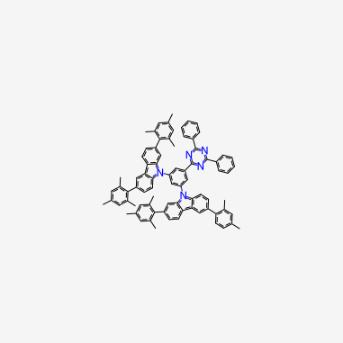 Cc1ccc(-c2ccc3c(c2)c2ccc(-c4c(C)cc(C)cc4C)cc2n3-c2cc(-c3nc(-c4ccccc4)nc(-c4ccccc4)n3)cc(-n3c4ccc(-c5c(C)cc(C)cc5C)cc4c4ccc(-c5c(C)cc(C)cc5C)cc43)c2)c(C)c1